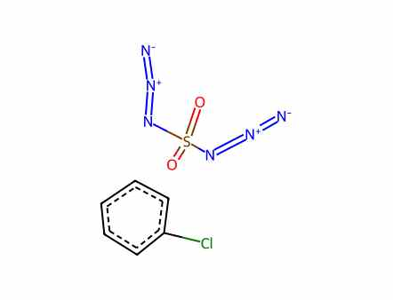 Clc1ccccc1.[N-]=[N+]=NS(=O)(=O)N=[N+]=[N-]